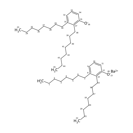 CCCCCCCCc1cccc([O-])c1CCCCCCCC.CCCCCCCCc1cccc([O-])c1CCCCCCCC.[Ba+2]